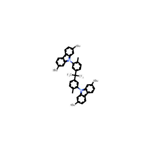 Cc1ccc(C(c2ccc(C)c(-n3c4cc(C(C)(C)C)ccc4c4ccc(C(C)(C)C)cc43)c2)(C(F)(F)F)C(F)(F)F)cc1-n1c2cc(C(C)(C)C)ccc2c2ccc(C(C)(C)C)cc21